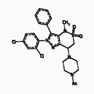 CC(=O)N1CCN(C2CS(=O)(=O)N(C)c3c2nn(-c2ccc(Cl)cc2Cl)c3-c2ccccc2)CC1